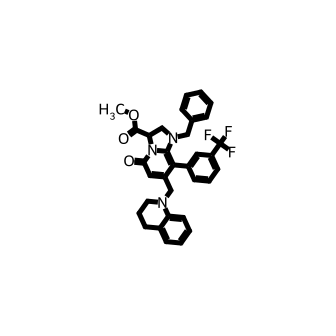 COC(=O)C1CN(Cc2ccccc2)c2c(-c3cccc(C(F)(F)F)c3)c(CN3CCCc4ccccc43)cc(=O)n21